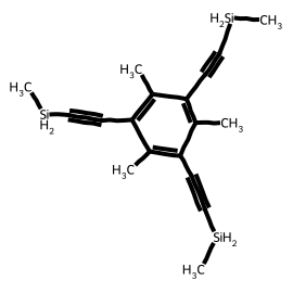 C[SiH2]C#Cc1c(C)c(C#C[SiH2]C)c(C)c(C#C[SiH2]C)c1C